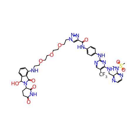 CN(c1nccnc1CNc1nc(Nc2ccc(NC(=O)c3cn(CCOCCOCCOCCNc4cccc5c4C(=O)N(C4CCC(=O)NC4=O)C5O)nn3)cc2)ncc1C(F)(F)F)S(C)(=O)=O